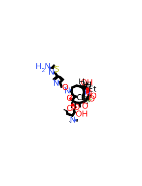 CCC(=O)/N=C1\[C@H](C)CC2C3O[C@@]2(C)[C@H](O[C@@H]2O[C@H](C)C[C@H](N(C)C)[C@H]2O)C(C)C(=O)[C@](C)(F)C(=O)O[C@H](CC)[C@@](C)(O)[C@H](CC/C3=N\OCc2ccc(-c3nc(N)cs3)cn2)[C@H]1C